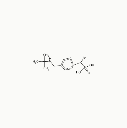 CC(C)(C)NCc1ccc(C(Br)P(=O)(O)O)cc1